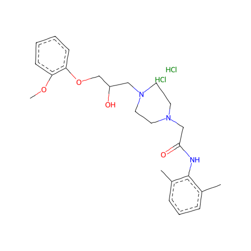 COc1ccccc1OCC(O)CN1CCN(CC(=O)Nc2c(C)cccc2C)CC1.Cl.Cl